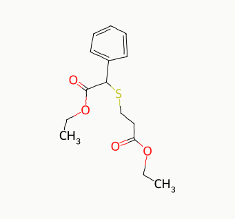 CCOC(=O)CCSC(C(=O)OCC)c1ccccc1